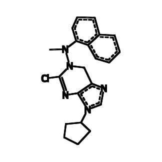 CN(c1cccc2ccccc12)N1Cc2ncn(C3CCCC3)c2N=C1Cl